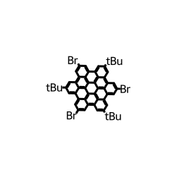 CC(C)(C)c1cc2c3cc(Br)cc4c5cc(C(C)(C)C)cc6c7cc(Br)cc8c9cc(C(C)(C)C)cc%10c%11cc(Br)cc%12c(c1)c2c1c(c34)c(c56)c(c78)c(c%109)c1c%12%11